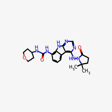 CC1(C)CCC(=O)N1Nc1ncnc2[nH]c3c(NC(=O)NC4CCOCC4)cccc3c12